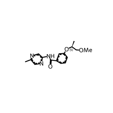 COC[C@H](C)Oc1cccc(C(=O)Nc2cnc(C)cn2)c1